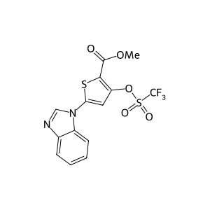 COC(=O)c1sc(-n2cnc3ccccc32)cc1OS(=O)(=O)C(F)(F)F